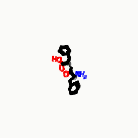 N[C@@H](Cc1ccccc1)C(=O)C[C@@H](Cc1ccccc1)C(=O)O